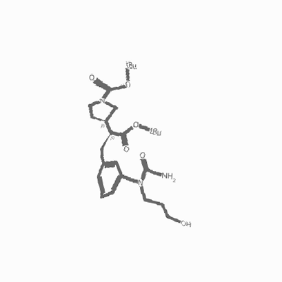 CC(C)(C)OC(=O)[C@@H](Cc1cccc(N(CCCO)C(N)=O)c1)[C@H]1CCN(C(=O)OC(C)(C)C)C1